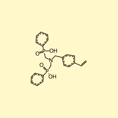 C=Cc1ccc(CN(CP(=O)(O)c2ccccc2)CP(=O)(O)c2ccccc2)cc1